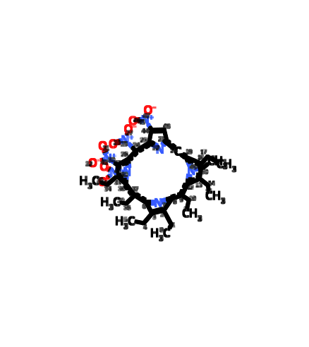 CCC1=C(CC)c2nc1c(CC)c1c(CC)c(CC)c(cc3nc(c([N+](=O)[O-])c4c([N+](=O)[O-])c(CC)c(c2CC)n4[N+](=O)[O-])C([N+](=O)[O-])=C3)n1CC